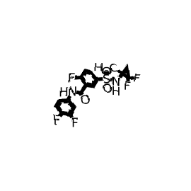 CC1(NS(=O)(=O)c2ccc(F)c(C(=O)Nc3ccc(F)c(F)c3)c2)CC1(F)F